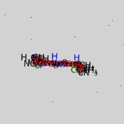 Cc1cc(S(=O)(=O)NCCOCCOCCNC(=O)NCCCCNC(=O)NCCOCCOCCNS(=O)(=O)c2ccc(O[C@H]3c4cc(Cl)cc(C#N)c4C[C@@H]3N(C)C)c(C)c2)ccc1O[C@H]1c2cc(Cl)cc(C#N)c2C[C@@H]1N(C)C